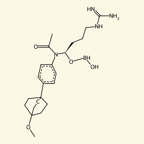 COC12CCC(c3ccc(N(C(C)=O)[C@@H](CCCNC(=N)N)OBO)cc3)(CC1)CC2